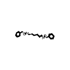 C(/CCCC/C=N/OCc1ccccc1)=N\OCc1ccccc1